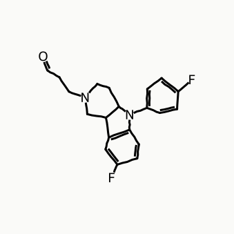 O=CCCN1CCC2C(C1)c1cc(F)ccc1N2c1ccc(F)cc1